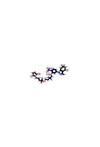 Cc1nn(-c2ccc(C(N)=O)c(NCC(C)(C)CCOC(C)(C)CCCN3C(=O)C=CC3=O)c2)c2c1C(=O)CC(C)(C)C2